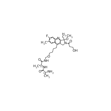 COC1(C)c2nc3cc(F)c(C)cc3c(CCCCOCNC(=O)[C@H](C)NC(=O)[C@H](C)N)c2CN1C(=O)CCO